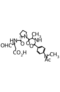 CC(=O)N(C)c1ccc(C(=O)NC(C)C(=O)N2CCC[C@H]2C(=O)N[C@H](C=O)CC(=O)O)cc1